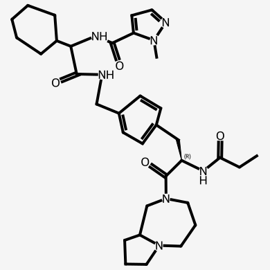 CCC(=O)N[C@H](Cc1ccc(CNC(=O)C(NC(=O)c2ccnn2C)C2CCCCC2)cc1)C(=O)N1CCCN2CCCC2C1